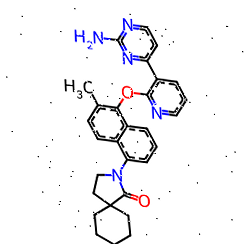 Cc1ccc2c(N3CCC4(CCCCC4)C3=O)cccc2c1Oc1ncccc1-c1ccnc(N)n1